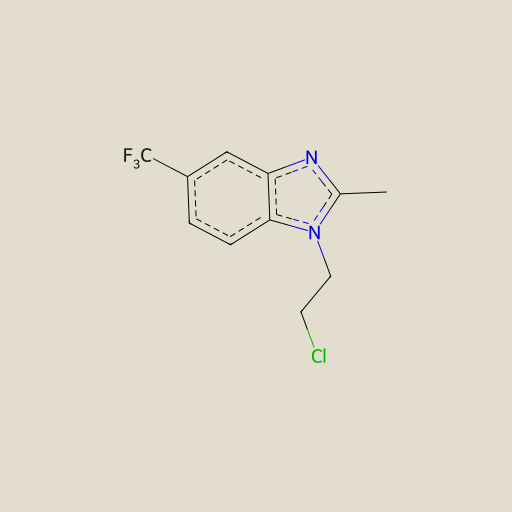 Cc1nc2cc(C(F)(F)F)ccc2n1CCCl